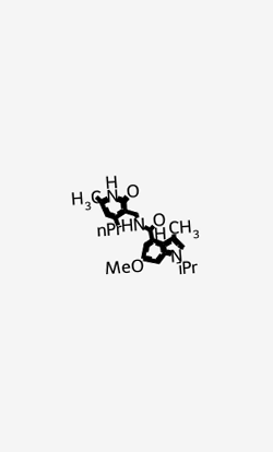 CCCc1cc(C)[nH]c(=O)c1CNC(O)c1cc(OC)cc2c1c(C)cn2C(C)C